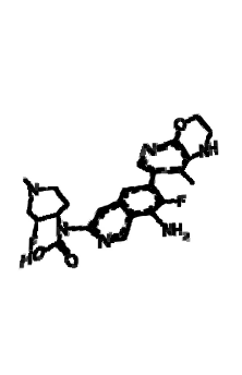 Cc1c(-c2cc3cc(N(C(=O)O)[C@@H]4CCN(C)C[C@@H]4F)ncc3c(N)c2F)cnc2c1NCCO2